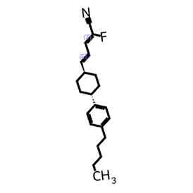 CCCCCc1ccc([C@H]2CC[C@H](/C=C/C=C(\F)C#N)CC2)cc1